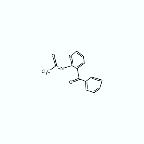 O=C(c1ccccc1)c1cccnc1NC(=O)C(Cl)(Cl)Cl